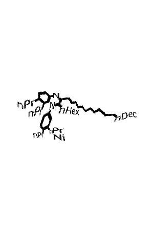 CCCCCCCCCCCCCCCCCCCC=CC(=Nc1ccc(CCC)c(CCC)c1)C(CCCCCC)=Nc1ccc(CCC)c(CCC)c1.[Ni]